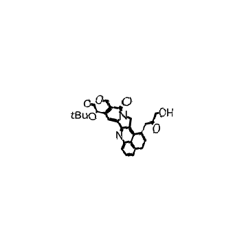 CC(C)(C)OC1C(=O)OCc2c1cc1n(c2=O)Cc2c-1nc1cccc3c1c2[C@@H](CC(=O)CO)CC3